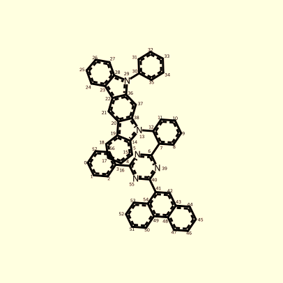 c1ccc(-c2nc(-c3ccccc3-n3c4ccccc4c4cc5c6ccccc6n(-c6ccccc6)c5cc43)nc(-c3cc4ccccc4c4ccccc34)n2)cc1